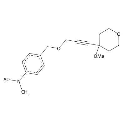 COC1(C#CCOCc2ccc(N(C)C(C)=O)cc2)CCOCC1